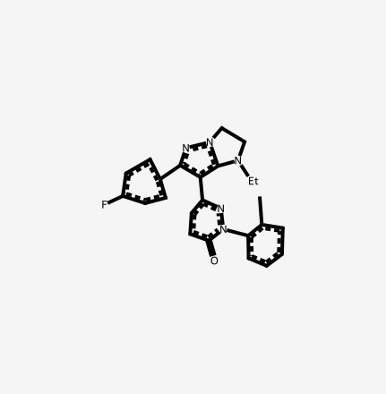 CCN1CCn2nc(-c3ccc(F)cc3)c(-c3ccc(=O)n(-c4ccccc4C)n3)c21